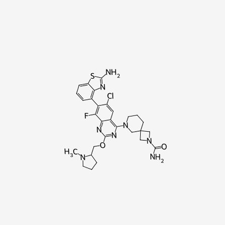 CN1CCCC1COc1nc(N2CCCC3(CN(C(N)=O)C3)C2)c2cc(Cl)c(-c3cccc4sc(N)nc34)c(F)c2n1